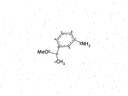 COC(C)c1cccc(N)c1